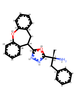 C[C@@](N)(Cc1ccccc1)c1nnc(C2Cc3ccccc3Oc3ccccc32)o1